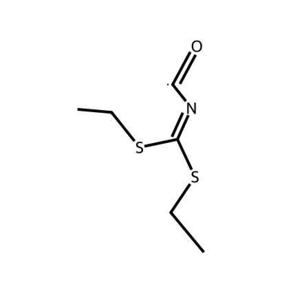 CCSC(=N[C]=O)SCC